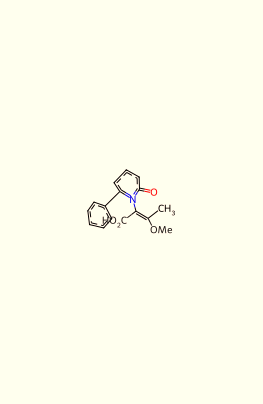 COC(C)=C(C(=O)O)n1c(-c2ccccc2)cccc1=O